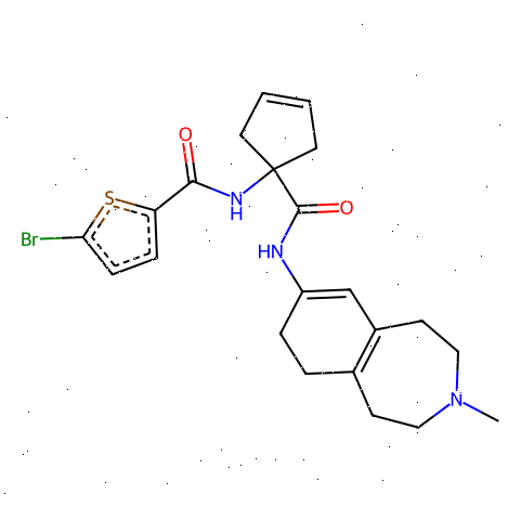 CN1CCC2=C(CCC(NC(=O)C3(NC(=O)c4ccc(Br)s4)CC=CC3)=C2)CC1